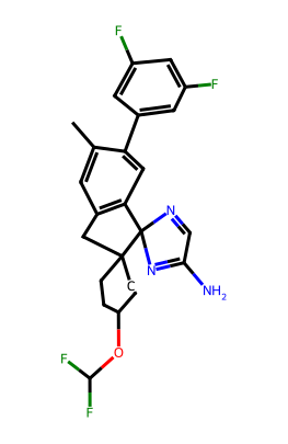 Cc1cc2c(cc1-c1cc(F)cc(F)c1)C1(N=CC(N)=N1)C1(CCC(OC(F)F)CC1)C2